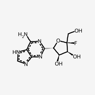 Nc1nc([C@@H]2O[C@](F)(CO)[C@@H](O)[C@H]2O)nc2nc[nH]c12